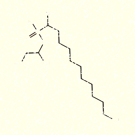 CCCCCCCCCCCC(N)P(=O)(O)OC(C)CC